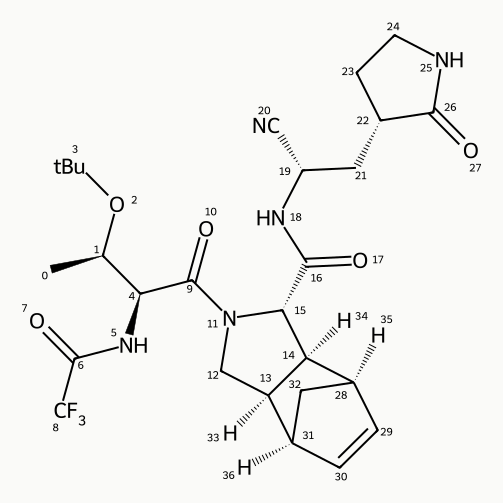 C[C@@H](OC(C)(C)C)[C@H](NC(=O)C(F)(F)F)C(=O)N1C[C@H]2[C@@H]([C@H]1C(=O)N[C@H](C#N)C[C@@H]1CCNC1=O)[C@H]1C=C[C@@H]2C1